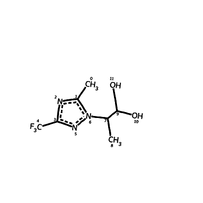 Cc1nc(C(F)(F)F)nn1C(C)C(O)O